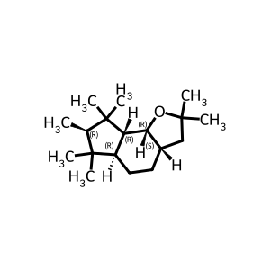 C[C@H]1C(C)(C)[C@@H]2[C@@H]3OC(C)(C)C[C@@H]3CC[C@H]2C1(C)C